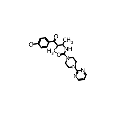 CC(NC(=O)N1CCN(c2ncccn2)CC1)C(C)C(=O)c1ccc(Cl)cc1